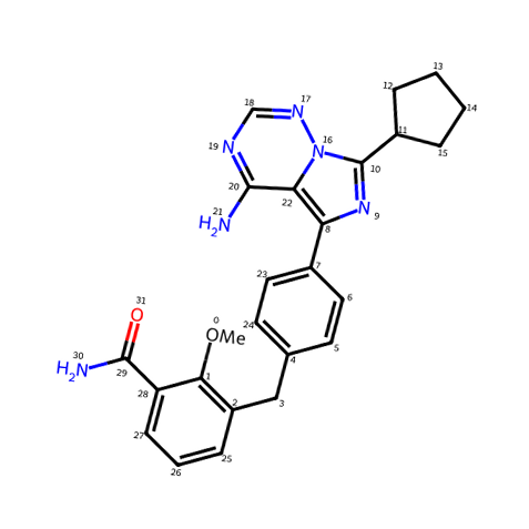 COc1c(Cc2ccc(-c3nc(C4CCCC4)n4ncnc(N)c34)cc2)cccc1C(N)=O